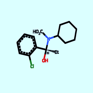 CC[C@](O)(c1ccccc1Cl)N(C(=O)O)C1CCCCC1